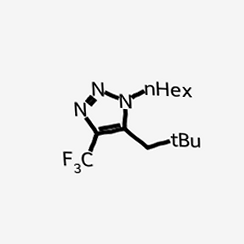 CCCCCCn1nnc(C(F)(F)F)c1CC(C)(C)C